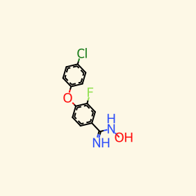 N=C(NO)c1ccc(Oc2ccc(Cl)cc2)c(F)c1